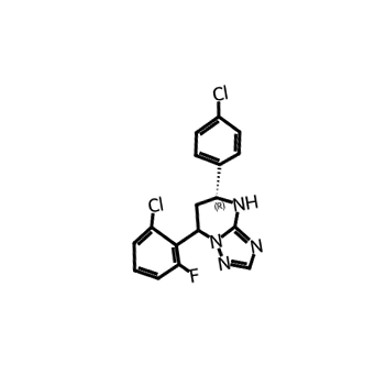 Fc1cccc(Cl)c1C1C[C@H](c2ccc(Cl)cc2)Nc2ncnn21